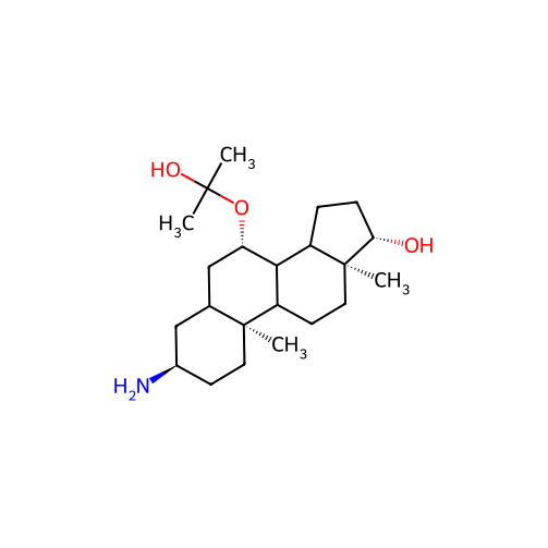 CC(C)(O)O[C@H]1CC2C[C@H](N)CC[C@]2(C)C2CC[C@@]3(C)C(CC[C@@H]3O)C21